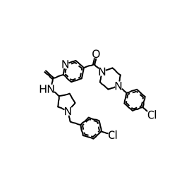 C=C(NC1CCN(Cc2ccc(Cl)cc2)C1)c1ccc(C(=O)N2CCN(c3ccc(Cl)cc3)CC2)cn1